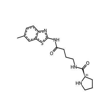 Cc1ccc2nc(NC(=O)CCCNC(=O)[C@H]3CCCN3)sc2c1